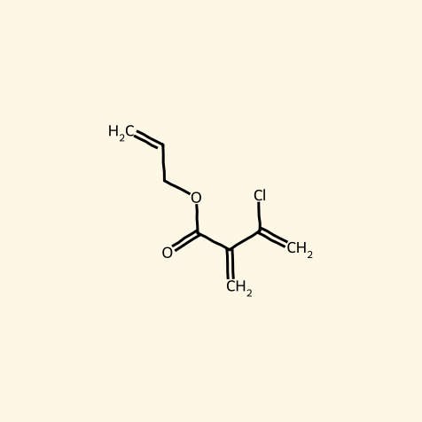 C=CCOC(=O)C(=C)C(=C)Cl